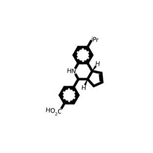 CC(C)c1ccc2c(c1)[C@@H]1C=CC[C@@H]1C(c1ccc(C(=O)O)cc1)N2